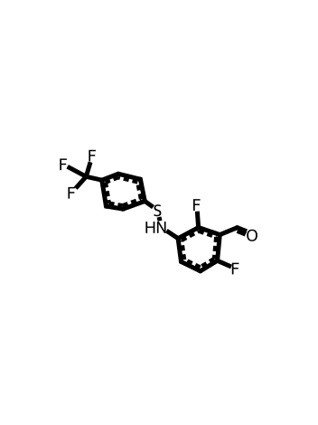 O=Cc1c(F)ccc(NSc2ccc(C(F)(F)F)cc2)c1F